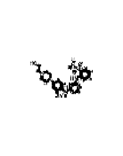 COc1cc(N2CCN(CCO)CC2)ccc1Nc1ncnc(Nc2ccccc2S(=O)(=O)N(C)C)n1